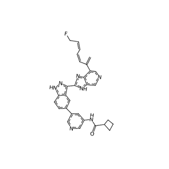 C=C(/C=C\C=C/CF)c1cncc2[nH]c(-c3n[nH]c4ccc(-c5cncc(NC(=O)C6CCC6)c5)cc34)nc12